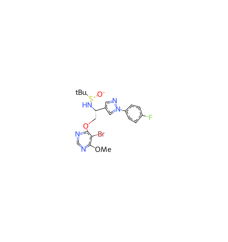 COc1ncnc(OC[C@H](N[S+]([O-])C(C)(C)C)c2cnn(-c3ccc(F)cc3)c2)c1Br